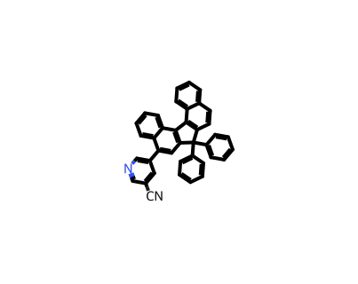 N#Cc1cncc(-c2cc3c(c4ccccc24)-c2c(ccc4ccccc24)C3(c2ccccc2)c2ccccc2)c1